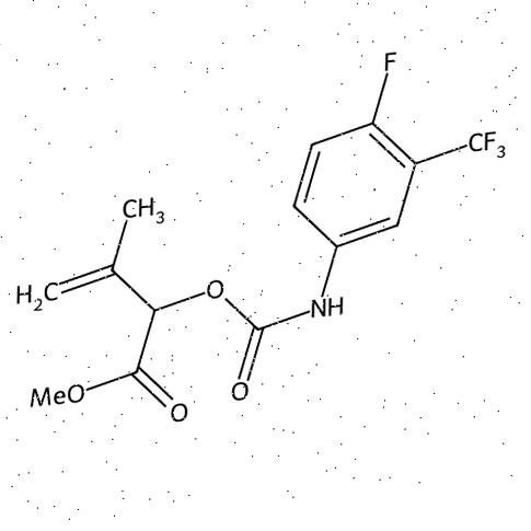 C=C(C)C(OC(=O)Nc1ccc(F)c(C(F)(F)F)c1)C(=O)OC